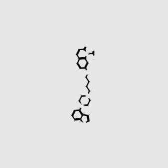 CCC(=O)n1c(=O)ccc2ccc(OCCCCN3CCN(c4cccc5sccc45)CC3)cc21